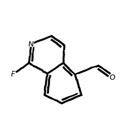 O=Cc1cccc2c(F)nccc12